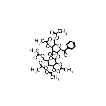 CC(=O)OCC1OC(C(=O)c2ccccc2)C(OC2OC(COC(C)=O)C(OC(C)=O)C(OC(C)=O)C2OC(C)=O)C(O)C1OC(C)=O